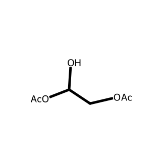 CC(=O)OCC(O)OC(C)=O